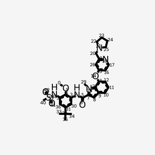 COc1c(NC(=O)c2cc3cccc(Oc4ccnc(CN5CCCC5)c4)c3n2C)cc(C(C)(C)C)cc1NS(C)(=O)=O